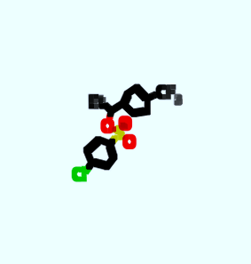 CCC(OS(=O)(=O)c1ccc(Cl)cc1)c1ccc(C(F)(F)F)cc1